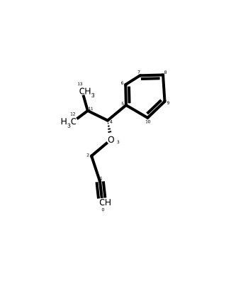 C#CCO[C@@H](c1ccccc1)C(C)C